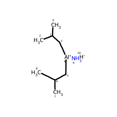 CC(C)[CH2][Al+][CH2]C(C)C.N.[H-]